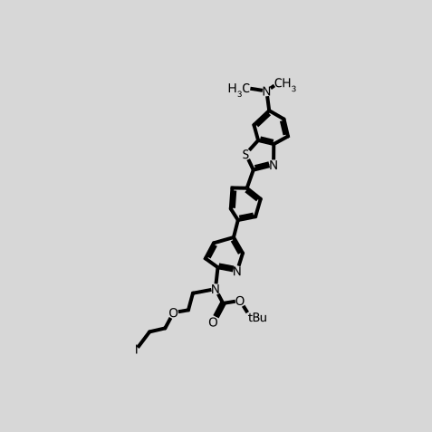 CN(C)c1ccc2nc(-c3ccc(-c4ccc(N(CCOCCI)C(=O)OC(C)(C)C)nc4)cc3)sc2c1